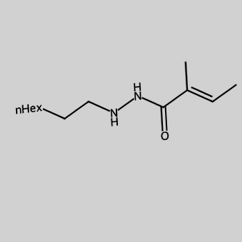 C/C=C(\C)C(=O)NNCCCCCCCC